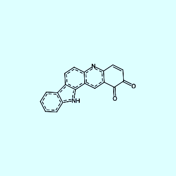 O=C1C=Cc2nc3ccc4c5ccccc5[nH]c4c3cc2C1=O